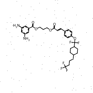 Nc1cc(N)cc(C(=O)OCCCOC(=O)/C=C/c2ccc(OC(F)(F)C3CCC(CCCC(F)(F)F)CC3)cc2)c1